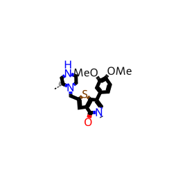 COc1ccc(-c2cn(C)c(=O)c3cc(CN4CCNC[C@H]4C)sc23)cc1OC